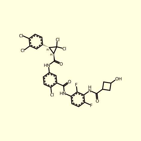 O=C(Nc1ccc(F)c(NC(=O)C2CC(O)C2)c1F)c1cc(NC(=O)[C@H]2[C@H](c3ccc(Cl)c(Cl)c3)C2(Cl)Cl)ccc1Cl